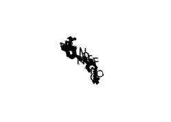 CC(C)n1ncc2ccc(-c3noc(C4CCN(C(=O)OC(C)(C)C)CC4(F)F)n3)cc21